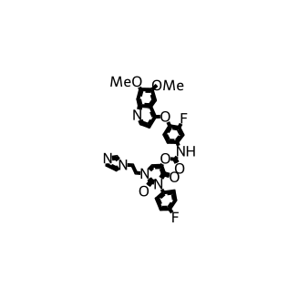 COc1cc2nccc(Oc3ccc(NC(=O)Oc4cn(CCn5ccnc5)c(=O)n(-c5ccc(F)cc5)c4=O)cc3F)c2cc1OC